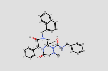 CCN1CC(=O)N2[C@@H](c3ccccc3)C(=O)N(Cc3cccc4ccccc34)C[C@@H]2N1C(=O)NCc1ccccc1